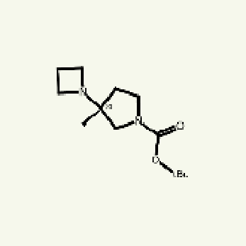 CC(C)(C)OC(=O)N1CC[C@@](C)(N2CCC2)C1